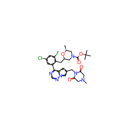 C[C@H]1CN(C(=O)OC(C)(C)C)CC(Cc2c(F)cc(Cl)cc2-c2ncnn3cc(CN4C(=O)CN(C)CC4=O)cc23)O1